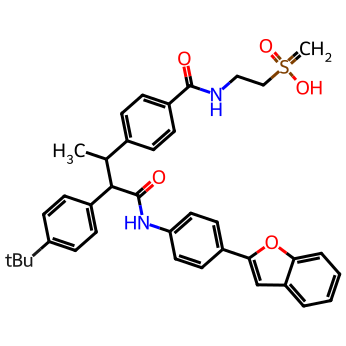 C=S(=O)(O)CCNC(=O)c1ccc(C(C)C(C(=O)Nc2ccc(-c3cc4ccccc4o3)cc2)c2ccc(C(C)(C)C)cc2)cc1